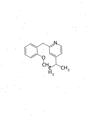 COc1ccccc1Cc1cc(C(C)C)ccn1